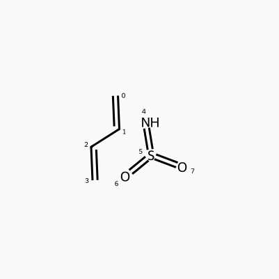 C=CC=C.N=S(=O)=O